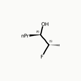 CCC[C@@H](O)[C@H](C)F